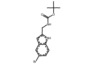 CC(C)(C)OC(=O)NCc1cc2cc(Br)ccc2[nH]1